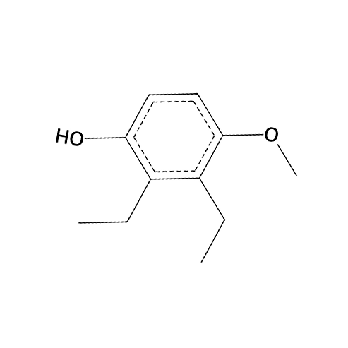 CCc1c(O)ccc(OC)c1CC